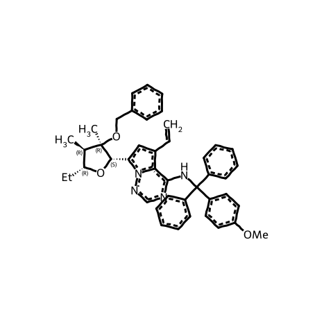 C=Cc1cc([C@@H]2O[C@H](CC)[C@@H](C)[C@@]2(C)OCc2ccccc2)n2ncnc(NC(c3ccccc3)(c3ccccc3)c3ccc(OC)cc3)c12